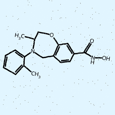 Cc1ccccc1N1Cc2ccc(C(=O)NO)cc2OCC1C